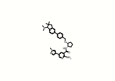 CN(C)C1c2ccc(-c3ccc(CO[C@H]4CCC[C@@H]4NC(=O)c4cc(-c5cnn(C)c5)cnc4N)cc3)cc2CC1(C)C